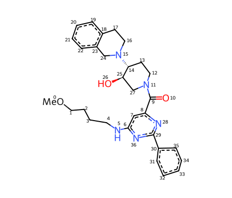 COCCCCNc1cc(C(=O)N2CC[C@@H](N3CCc4ccccc4C3)[C@H](O)C2)nc(-c2ccccc2)n1